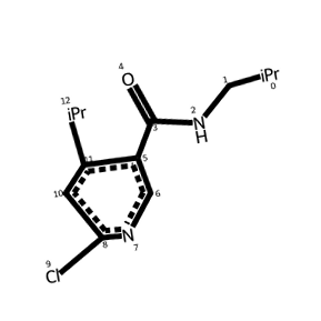 CC(C)CNC(=O)c1cnc(Cl)cc1C(C)C